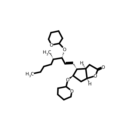 CCCC[C@H](C)[C@@H](/C=C/[C@@H]1[C@H]2CC(=O)O[C@H]2C[C@H]1OC1CCCCO1)OC1CCCCO1